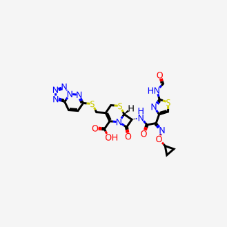 O=CNc1nc(/C(=N/OC2CC2)C(=O)N[C@@H]2C(=O)N3C(C(=O)O)=C(CSc4ccc5nnnn5n4)CS[C@H]23)cs1